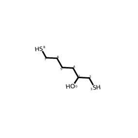 OC(CS)CCCCS